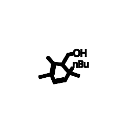 CCCCC1(C)C=CC(C)=C(C)C1CO